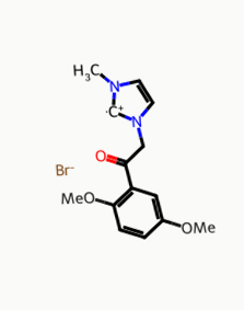 COc1ccc(OC)c(C(=O)CN2[C+]N(C)C=C2)c1.[Br-]